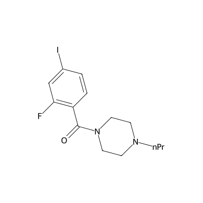 CCCN1CCN(C(=O)c2ccc(I)cc2F)CC1